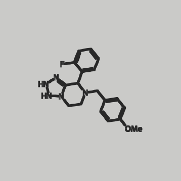 COc1ccc(CN2CCN3NNN=C3C2c2ccccc2F)cc1